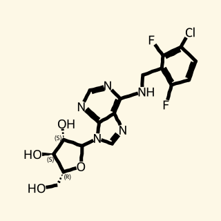 OC[C@H]1OC(n2cnc3c(NCc4c(F)ccc(Cl)c4F)ncnc32)[C@@H](O)[C@@H]1O